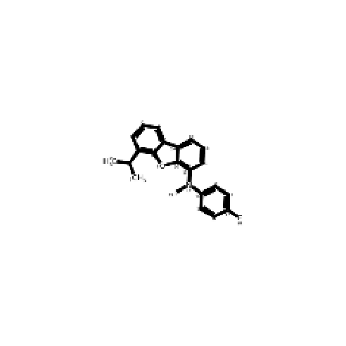 CC(C)c1cccc2c1oc1c(N(I)c3ccc(F)cc3)cccc12